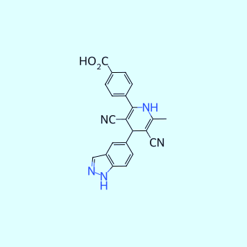 CC1=C(C#N)C(c2ccc3[nH]ncc3c2)C(C#N)=C(c2ccc(C(=O)O)cc2)N1